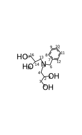 OCC(O)CN(Cc1cc[c]cc1)CC(O)CO